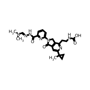 CN(C)/C=N/NC(=O)c1cccc(N2Cc3c(cc(C4(C)CC4)nc3CCNC(=O)O)C2=O)n1